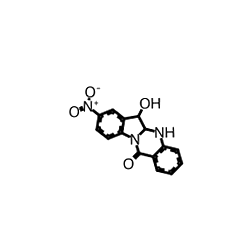 O=C1c2ccccc2NC2C(O)c3cc([N+](=O)[O-])ccc3N12